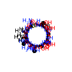 CCCC[C@H]1C(=O)N(C)[C@@H](CCCC)C(=O)N[C@@H](C)C(=O)N[C@H](C(=O)NCC(N)=O)CSCC(=O)N[C@@H](Cc2ccc(O)cc2)C(=O)N(C)[C@@H](C)C(=O)N[C@@H](CC(=O)O)C(=O)N2CCC[C@H]2C(=O)N[C@@H](Cc2cnc[nH]2)C(=O)N[C@@H](CCC(=O)O)C(=O)N2C[C@H](O)C[C@H]2C(=O)N[C@@H](Cc2c[nH]c3ccccc23)C(=O)N[C@@H](CCN)C(=O)N[C@@H](Cc2c[nH]c3ccccc23)C(=O)N1C